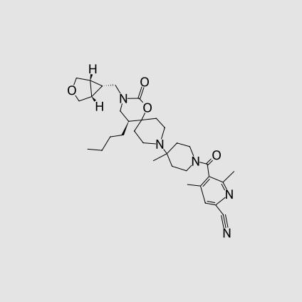 CCCC[C@H]1CN(C[C@@H]2[C@@H]3COC[C@@H]32)C(=O)OC12CCN(C1(C)CCN(C(=O)c3c(C)cc(C#N)nc3C)CC1)CC2